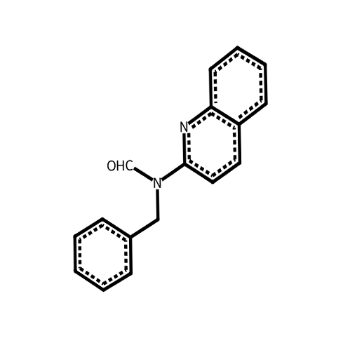 O=CN(Cc1ccccc1)c1ccc2ccccc2n1